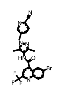 Cc1nn(Cc2ccc(C#N)nc2)c(C)c1NC(=O)c1cc(C(F)(F)F)nc2ccc(Br)cc12